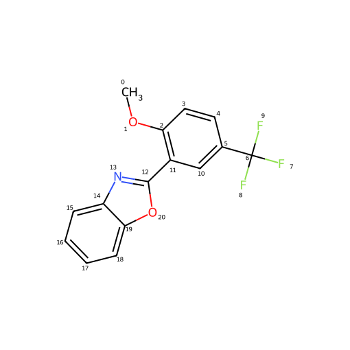 COc1ccc(C(F)(F)F)cc1-c1nc2ccccc2o1